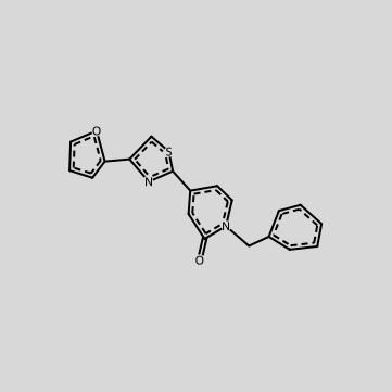 O=c1cc(-c2nc(-c3ccco3)cs2)ccn1Cc1ccccc1